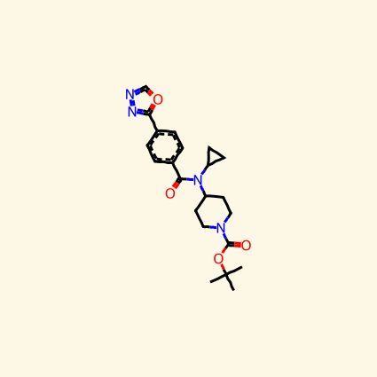 CC(C)(C)OC(=O)N1CCC(N(C(=O)c2ccc(-c3nnco3)cc2)C2CC2)CC1